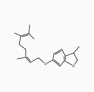 CC(=CCOc1ccc2c(c1)OCC2C)CCC(C)=C(C)C